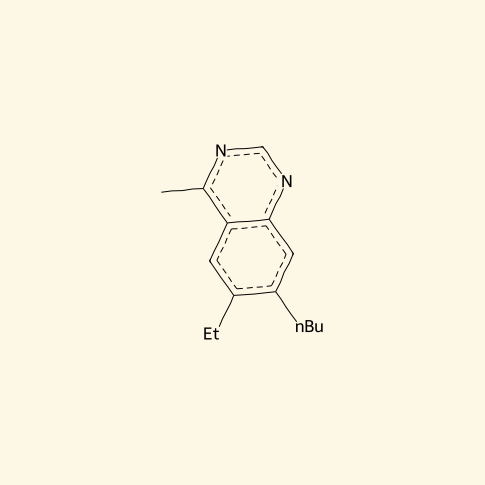 CCCCc1cc2ncnc(C)c2cc1CC